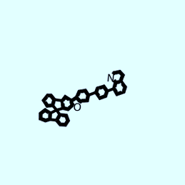 c1ccc2c(c1)-c1ccccc1C21c2ccccc2-c2cc3c(cc21)oc1cc(-c2ccc(-c4cccc5cccnc45)cc2)ccc13